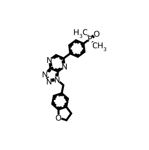 CP(C)(=O)c1ccc(-c2cnc3nnn(Cc4ccc5c(c4)CCO5)c3n2)cc1